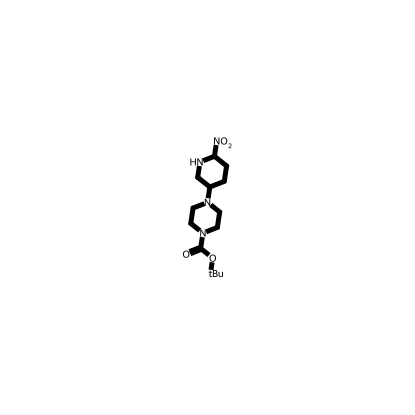 CC(C)(C)OC(=O)N1CCN(C2CCC([N+](=O)[O-])NC2)CC1